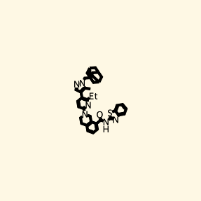 CCc1nc(N2CCc3cccc(C(=O)Nc4nc5ccccc5s4)c3C2)ccc1-c1cnn(CC23CC4CC(CC(C4)C2)C3)c1C